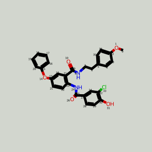 COc1ccc(CCNC(=O)c2cc(Oc3ccccc3)ccc2NC(=O)c2ccc(O)c(Cl)c2)cc1